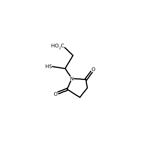 O=C(O)CC(S)N1C(=O)CCC1=O